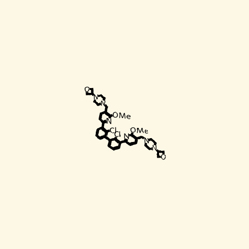 COc1nc(-c2cccc(-c3cccc(-c4ccc(CN5CCN(C6COC6)CC5)c(OC)n4)c3Cl)c2Cl)ccc1CN1CCN(C2COC2)CC1